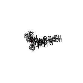 CC(C)(C)OC(=O)C(C)(C)ON=C(C(=O)NC1CN2CC(C(=O)NCCN3C(=O)c4cc(O)c(O)cc4C3=O)=C(C(=O)O)N2C1=O)c1csc(NC(c2ccccc2)(c2ccccc2)c2ccccc2)n1